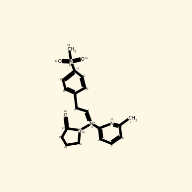 Cc1cccc([N+](=CCc2ccc(S(C)(=O)=O)cc2)N2CCCC2=O)n1